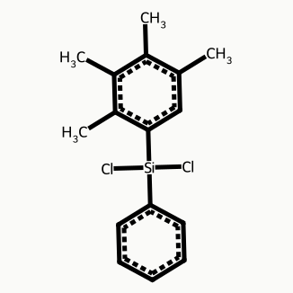 Cc1cc([Si](Cl)(Cl)c2ccccc2)c(C)c(C)c1C